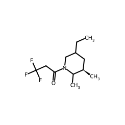 CCC1C[C@@H](C)C(C)N(C(=O)CC(F)(F)F)C1